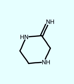 N=C1CNCCN1